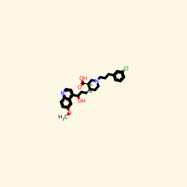 COc1ccc2nccc(C(O)CC[C@@H]3CCN(CCCc4cccc(Cl)c4)C[C@@H]3C(=O)O)c2c1